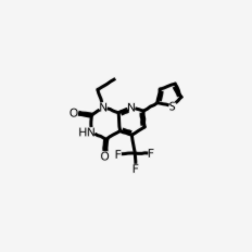 CCn1c(=O)[nH]c(=O)c2c(C(F)(F)F)cc(-c3cccs3)nc21